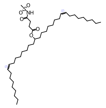 CCCCCCCC/C=C\CCCCCCCC(CCCCCCC/C=C\CCCCCCCC)OC(=O)CCC(=O)NS(C)(=O)=O